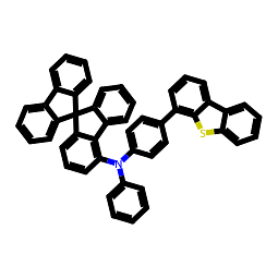 c1ccc(N(c2ccc(-c3cccc4c3sc3ccccc34)cc2)c2cccc3c2-c2ccccc2C32c3ccccc3-c3ccccc32)cc1